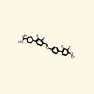 CCCC(O)C1CCC(c2ccc(COc3ccc(-c4ccc(OCC)c(F)c4F)cc3)c(F)c2F)CC1